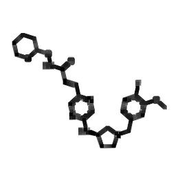 COc1cc(CN2CC[C@@H](Nc3cnc(/C=C/C(=O)NOC4CCCCO4)cn3)C2)ccc1F